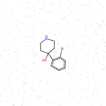 OC1(c2ccccc2Br)CCNCC1